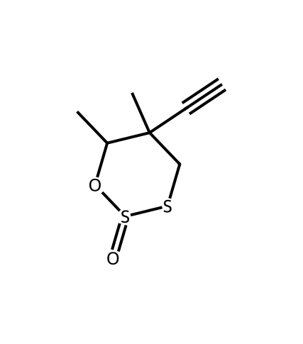 C#CC1(C)CSS(=O)OC1C